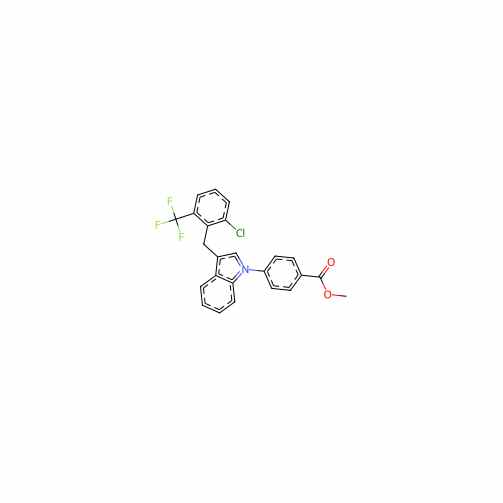 COC(=O)c1ccc(-n2cc(Cc3c(Cl)cccc3C(F)(F)F)c3ccccc32)cc1